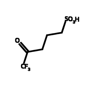 O=C(CCCS(=O)(=O)O)C(F)(F)F